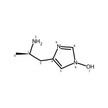 C[C@@H](N)Cc1cn(O)cn1